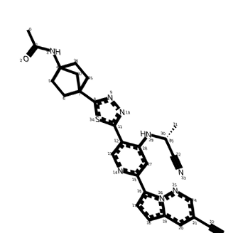 CC(=O)NC12CCC(c3nnc(-c4cnc(-c5ccc6cc(C#N)cnn56)cc4N[C@H](C)C#N)s3)(CC1)C2